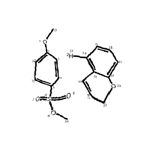 COc1ccc(S(=O)(=O)OC)cc1.[2H]c1cccc2c1C=CCO2